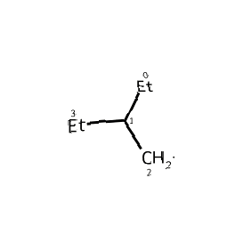 [CH]CC([CH2])CC